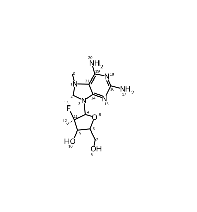 CN1CN(C2OC(CO)C(O)[C@@]2(C)F)c2nc(N)nc(N)c21